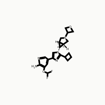 Nc1ncc(-c2cn([C@@H]3[C@@H]4CN(C5COC5)C[C@@H]43)c(C3CCC3)n2)cc1OC(F)F